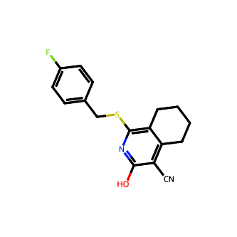 N#Cc1c(O)nc(SCc2ccc(F)cc2)c2c1CCCC2